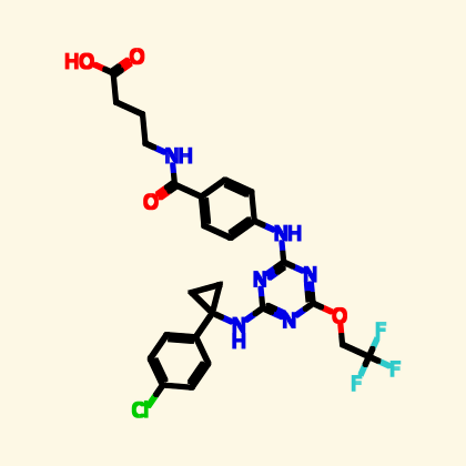 O=C(O)CCCNC(=O)c1ccc(Nc2nc(NC3(c4ccc(Cl)cc4)CC3)nc(OCC(F)(F)F)n2)cc1